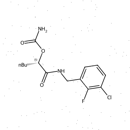 CCCC[C@H](OC(N)=O)C(=O)NCc1cccc(Cl)c1F